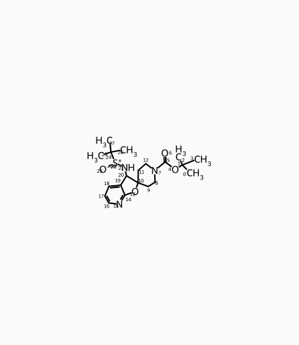 CC(C)(C)OC(=O)N1CCC2(CC1)Oc1ncccc1C2N[S@@+]([O-])C(C)(C)C